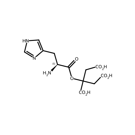 N[C@@H](Cc1c[nH]cn1)C(=O)OC(CC(=O)O)(CC(=O)O)C(=O)O